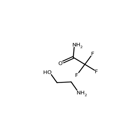 NC(=O)C(F)(F)F.NCCO